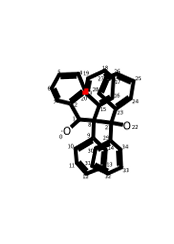 [O]C(c1ccccc1)C(c1ccccc1)(c1ccccc1)C([O])(c1ccccc1)c1ccccc1